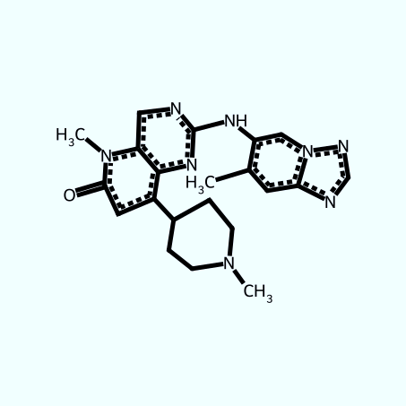 Cc1cc2ncnn2cc1Nc1ncc2c(n1)c(C1CCN(C)CC1)cc(=O)n2C